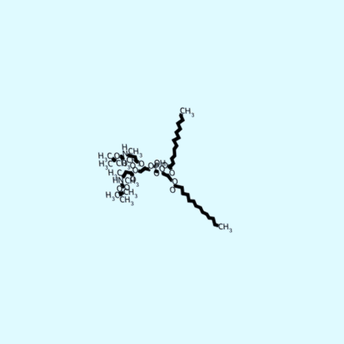 CCCCCCCCCCCCCC(=O)OCC(COP(=O)(O)OCC(COC(=O)CC(C)(C)NC(=O)OC(C)(C)C)OC(=O)CC(C)(C)NC(=O)OC(C)(C)C)OC(=O)CCCCCCCCCCCCC